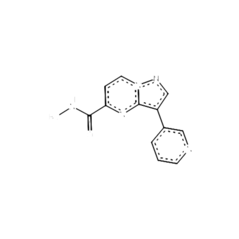 CCC(C)NC(=O)c1ccn2ncc(-c3cccnc3)c2n1